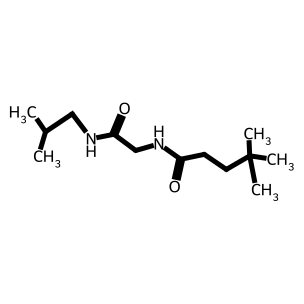 CC(C)CNC(=O)CNC(=O)CCC(C)(C)C